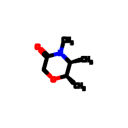 C[C@H]1OCC(=O)N(C)[C@H]1C